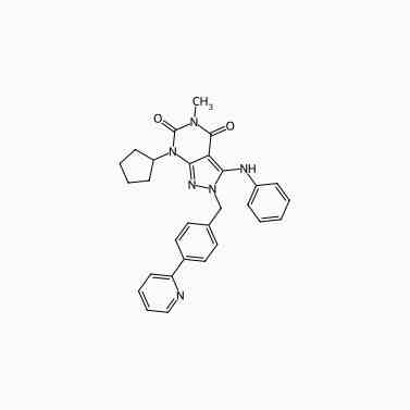 Cn1c(=O)c2c(Nc3ccccc3)n(Cc3ccc(-c4ccccn4)cc3)nc2n(C2CCCC2)c1=O